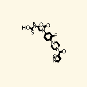 CN(C(O)=S)C1CN(c2ccc(N3CCN(C(=O)c4ccno4)CC3)c(F)c2)C(=O)O1